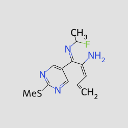 C=C/C=C(N)\C(=N/C(C)F)c1cnc(SC)nc1